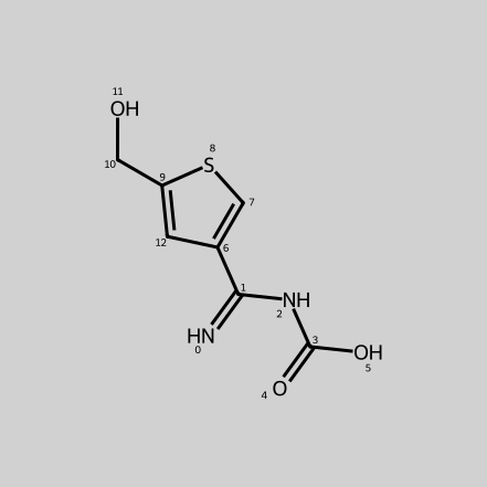 N=C(NC(=O)O)c1csc(CO)c1